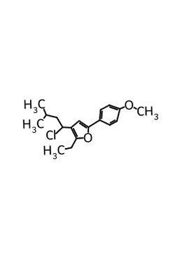 CCc1oc(-c2ccc(OC)cc2)cc1C(Cl)CC(C)C